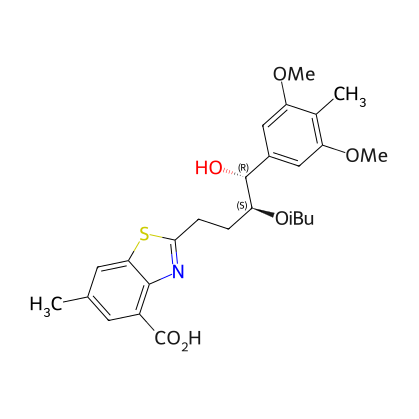 COc1cc([C@@H](O)[C@H](CCc2nc3c(C(=O)O)cc(C)cc3s2)OCC(C)C)cc(OC)c1C